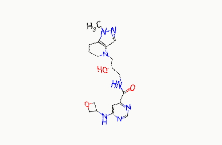 Cn1ncc2c1CCCN2C[C@@H](O)CNC(=O)c1cc(NC2COC2)ncn1